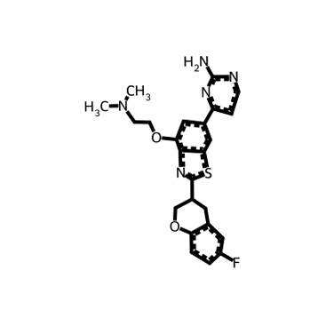 CN(C)CCOc1cc(-c2ccnc(N)n2)cc2sc(C3COc4ccc(F)cc4C3)nc12